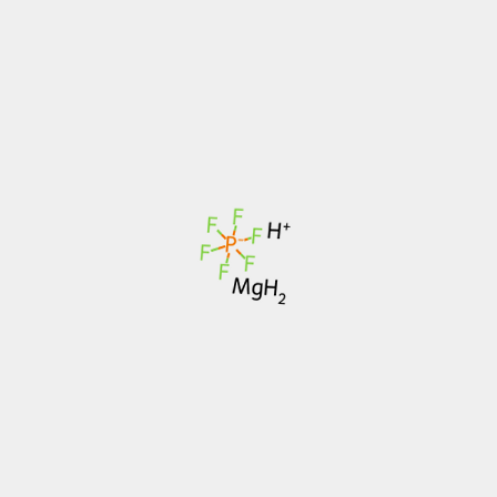 F[P-](F)(F)(F)(F)F.[H+].[MgH2]